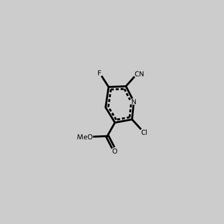 COC(=O)c1cc(F)c(C#N)nc1Cl